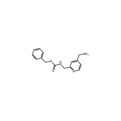 NCc1ccnc(CNC(=O)OCc2ccccc2)c1